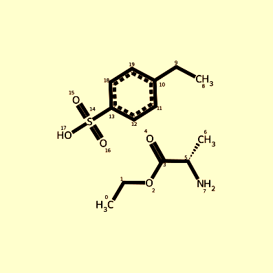 CCOC(=O)[C@H](C)N.CCc1ccc(S(=O)(=O)O)cc1